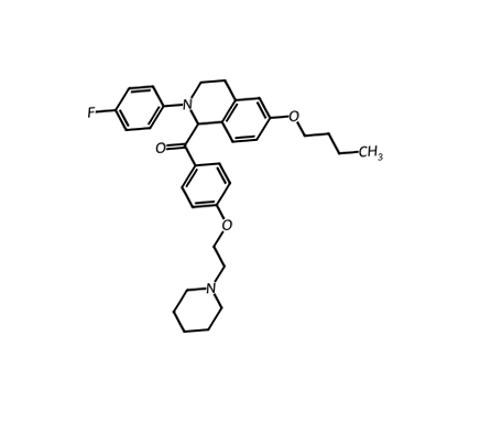 CCCCOc1ccc2c(c1)CCN(c1ccc(F)cc1)C2C(=O)c1ccc(OCCN2CCCCC2)cc1